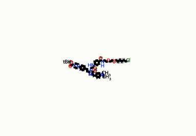 CN(C)c1ccc(/C=C2N=C(/C=C/c3ccc(N4CCN(C(=O)OC(C)(C)C)CC4)cc3)N(CC(=O)NC3CCC(C(=O)NCCOCCOCCCCCCCl)CC3)C/2=O)cc1